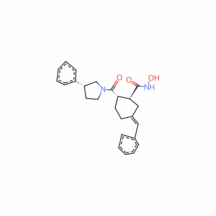 O=C(NO)[C@H]1CC(=Cc2ccccc2)CC[C@@H]1C(=O)N1CC[C@H](c2ccccc2)C1